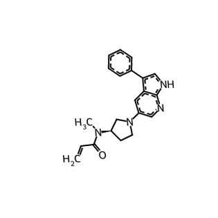 C=CC(=O)N(C)[C@@H]1CCN(c2cnc3[nH]cc(-c4ccccc4)c3c2)C1